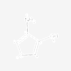 Nc1cocc1O